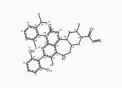 C=CC(=O)N1CC2CNc3c(F)c(-c4c(O)cccc4Cl)nc4c3c(nc(=O)n4-c3c(C)ccnc3C(C)C)N2CC1C